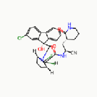 N#C[C@H](C[C@H]1CCCNC1=O)NC(=O)[C@H]1[C@@H]2CC[C@@H](CC2(F)F)N1C(=O)[C@]1(O)c2ccccc2-c2ccc(Cl)cc21